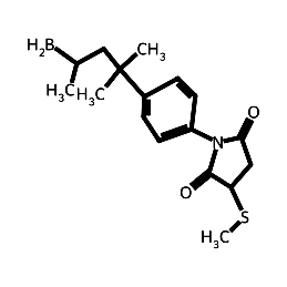 BC(C)CC(C)(C)c1ccc(N2C(=O)CC(SC)C2=O)cc1